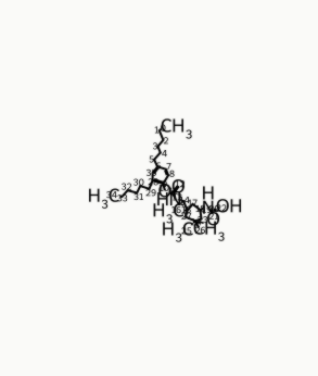 CCCCCCc1ccc(OC(=O)NCC2(C)CC(NC(=O)O)CC(C)(C)C2)c(CCCCCC)c1